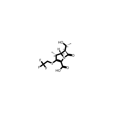 C[C@@H](O)[C@H]1C(=O)N2C(C(=O)O)=C(SCC(F)(F)F)[C@H](C)[C@H]12